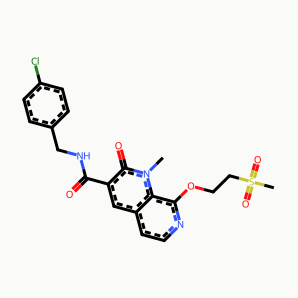 Cn1c(=O)c(C(=O)NCc2ccc(Cl)cc2)cc2ccnc(OCCS(C)(=O)=O)c21